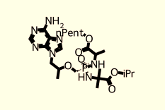 CCCCCOC(=O)C(C)N[P@@](=O)(COC(C)Cn1cnc2c(N)ncnc21)NC(C)(C)C(=O)OC(C)C